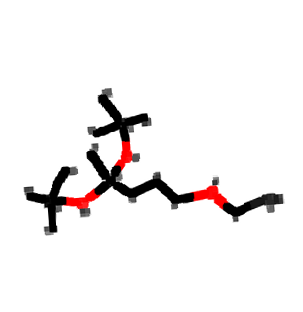 [CH2]C(C)(C)COCCC[Si](C)(O[Si](C)(C)C)O[Si](C)(C)C